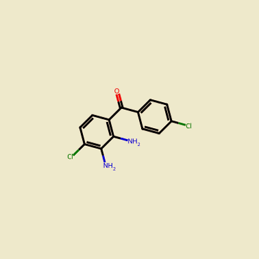 Nc1c(Cl)ccc(C(=O)c2ccc(Cl)cc2)c1N